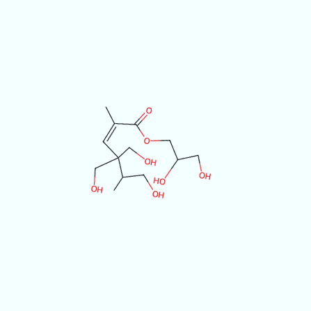 CC(=CC(CO)(CO)C(C)CO)C(=O)OCC(O)CO